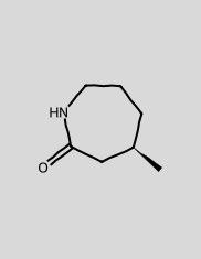 C[C@@H]1CCCNC(=O)C1